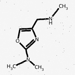 CNCc1coc(N(C)C)n1